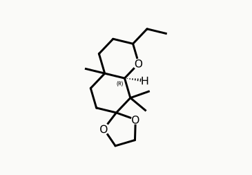 CCC1CCC2(C)CCC3(OCCO3)C(C)(C)[C@@H]2O1